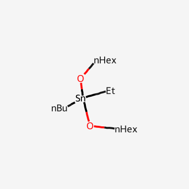 CCCCCC[O][Sn]([CH2]C)([CH2]CCC)[O]CCCCCC